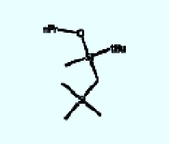 CCCO[Si](C)(C[Si](C)(C)C)C(C)(C)C